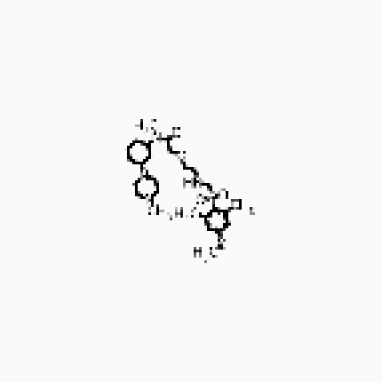 COc1cc(C)c(S(=O)(=O)CNCCOCC(=O)N(C)C2CCCC(N3CCN(C)CC3)C2)c(C)c1